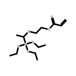 C=CC(=O)OCCOC(C)[Si](OCC)(OCC)OCC